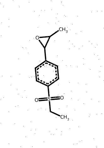 CCS(=O)(=O)c1ccc(C2OC2C)cc1